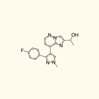 CC(O)c1cn2nccc(-c3cn(C)nc3-c3ccc(F)cc3)c2n1